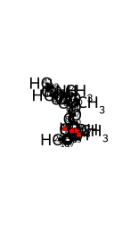 CC(=O)O[C@@H](CC(=O)OC1=CC[C@@]2(O)[C@H]3Cc4ccc(O)c5c4[C@@]2(CCN3C)[C@H]1O5)C(=O)O[C@@H](C)C(=O)N[C@@H](CC(=O)O)C(=O)O